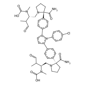 CC(C=O)[C@@H](CN1CCC[C@@]1(C(N)=O)c1ccc(-c2ccc(-c3ccc([C@]4(C(N)=O)CCCN4C[C@H](C(C)C=O)N(C)C(=O)O)cc3)n2-c2ccc(Cl)cc2)cc1)N(C)C(=O)O